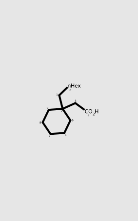 CCCCCCCC1(CC(=O)O)CCCCC1